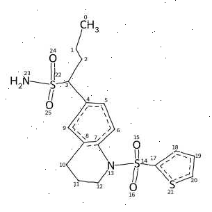 CCCC(c1ccc2c(c1)CCCN2S(=O)(=O)c1cccs1)S(N)(=O)=O